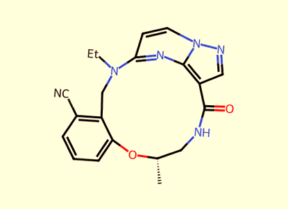 CCN1Cc2c(C#N)cccc2O[C@@H](C)CNC(=O)c2cnn3ccc1nc23